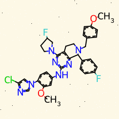 COc1ccc(CN2CCc3c(nc(Nc4ccc(-n5cnc(Cl)c5)c(OC)c4)nc3N3CCC(F)C3)C2c2ccc(F)cc2)cc1